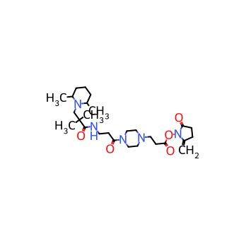 C=C1CCC(=O)N1OC(=O)CCN1CCN(C(=O)CCNC(=O)C(C)(C)CN2C(C)CCCC2C)CC1